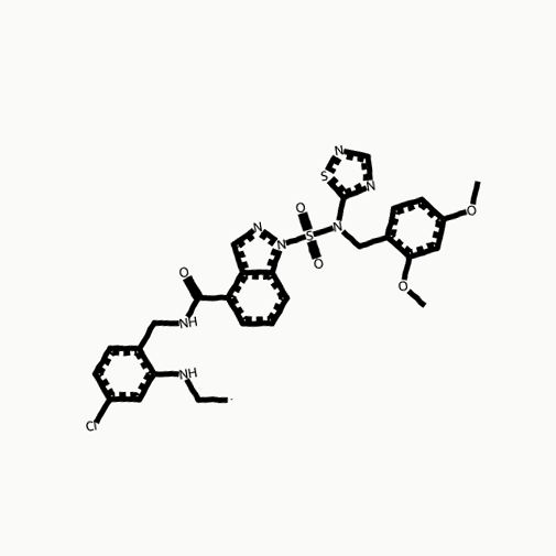 [CH2]CNc1cc(Cl)ccc1CNC(=O)c1cccc2c1cnn2S(=O)(=O)N(Cc1ccc(OC)cc1OC)c1ncns1